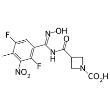 Cc1c(F)cc(/C(=N/O)NC(=O)C2CN(C(=O)O)C2)c(F)c1[N+](=O)[O-]